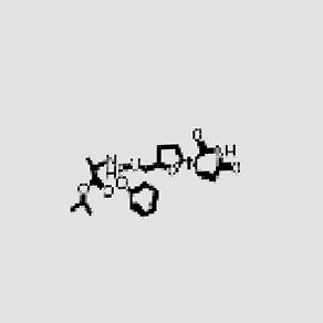 CC(C)OC(=O)C(C)NP(OCC1CC[C@H](n2ccc(=O)[nH]c2=O)O1)Oc1ccccc1